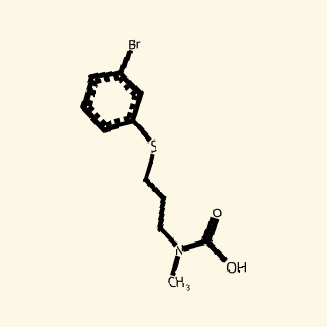 CN(CCCSc1cccc(Br)c1)C(=O)O